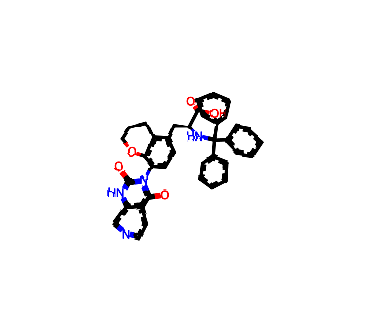 O=C(O)[C@H](Cc1ccc(-n2c(=O)[nH]c3cnccc3c2=O)c2c1CCCO2)NC(c1ccccc1)(c1ccccc1)c1ccccc1